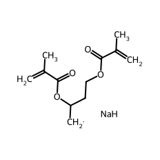 [CH2]C(CCOC(=O)C(=C)C)OC(=O)C(=C)C.[NaH]